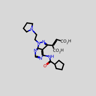 O=C(O)/C=C(\C(=O)O)c1nn(CCN2CCCC2)c2ncnc(NC(=O)C3CCCC3)c12